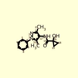 Cc1nn(-c2ccccc2)c(C)c1NC(=O)C1(O)CC1